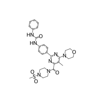 Cc1c(C(=O)N2CCN(S(C)(=O)=O)CC2)nc(-c2ccc(NC(=O)Nc3ccccc3)cc2)nc1N1CCOCC1